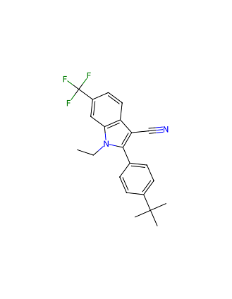 CCn1c(-c2ccc(C(C)(C)C)cc2)c(C#N)c2ccc(C(F)(F)F)cc21